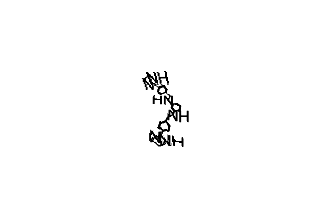 c1cc(NCc2ccc(C3=NCCCN3)cc2)cc(NCc2ccc(C3=NCCN3)cc2)c1